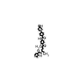 C=C/C(=C\C=C(/C)C(=O)c1ccc(NC(=O)c2ccc(N3CCC(O)CC3)cc2)cc1)NC(=O)c1ccncc1